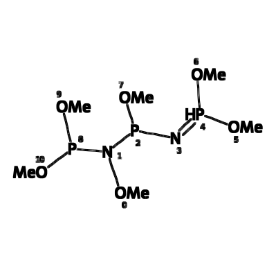 CON(P(N=[PH](OC)OC)OC)P(OC)OC